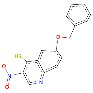 O=[N+]([O-])c1cnc2ccc(OCc3ccccc3)cc2c1S